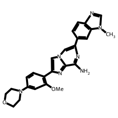 COc1cc(N2CCOCC2)ccc1-c1cn2cc(-c3ccc4ncn(C)c4c3)nc(N)c2n1